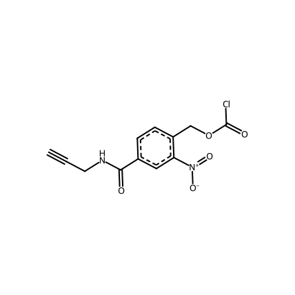 C#CCNC(=O)c1ccc(COC(=O)Cl)c([N+](=O)[O-])c1